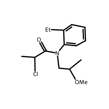 CCc1ccccc1N(CC(C)OC)C(=O)C(C)Cl